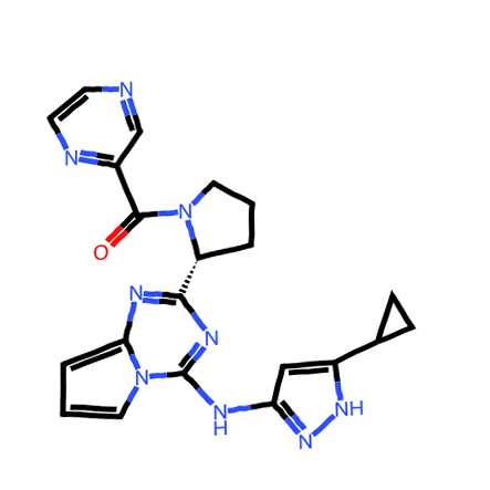 O=C(c1cnccn1)N1CCC[C@@H]1c1nc(Nc2cc(C3CC3)[nH]n2)n2cccc2n1